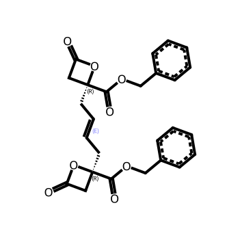 O=C1C[C@](C/C=C/C[C@]2(C(=O)OCc3ccccc3)CC(=O)O2)(C(=O)OCc2ccccc2)O1